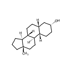 C[C@@]12CCC[C@H]1[C@@H]1CC[C@@H]3C[C@H](O)CC[C@@H]3[C@H]1CC2